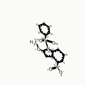 COc1cc2c([N+](=O)[O-])cccc2n1S(=O)(=O)c1ccccc1